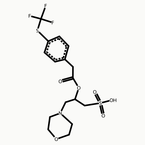 O=C(Cc1ccc(SC(F)(F)F)cc1)OC(CN1CCOCC1)CS(=O)(=O)O